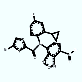 O=C(c1nc(Br)cs1)N(c1ccc(F)cc1C1CC1)c1ccc([N+](=O)[O-])c2nonc12